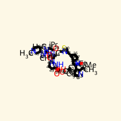 CCn1c(-c2cccnc2[C@H](C)OC)c2c3cc(ccc31)-c1csc(n1)C[C@H](NC(=O)[C@H](C(C)C)N(C)C(=O)N(C)[C@@H]1CCCN(C)C1)C(=O)N1CCC[C@@](O)(N1)C(=O)OCC(C)(C)C2